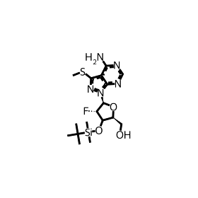 CSc1nn([C@H]2O[C@@H](CO)C(O[Si](C)(C)C(C)(C)C)[C@@H]2F)c2ncnc(N)c12